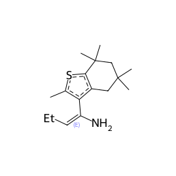 CC/C=C(/N)c1c(C)sc2c1CC(C)(C)CC2(C)C